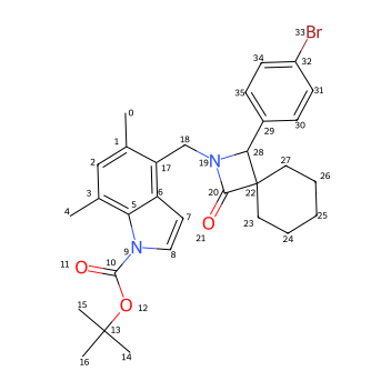 Cc1cc(C)c2c(ccn2C(=O)OC(C)(C)C)c1CN1C(=O)C2(CCCCC2)C1c1ccc(Br)cc1